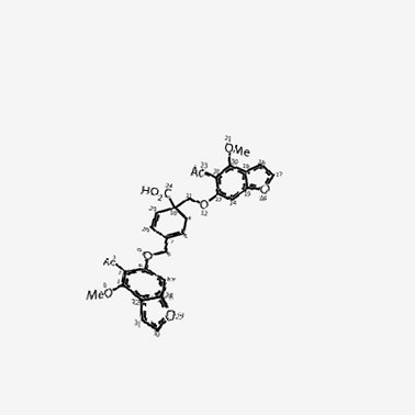 COc1c(C(C)=O)c(OCC2=CCC(COc3cc4occc4c(OC)c3C(C)=O)(C(=O)O)C=C2)cc2occc12